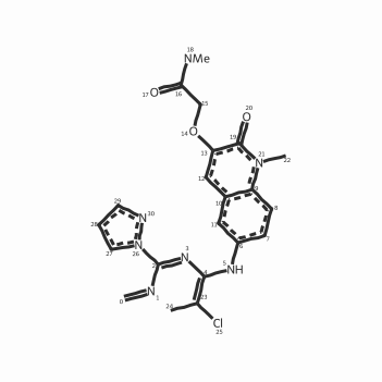 C=N/C(=N\C(Nc1ccc2c(c1)cc(OCC(=O)NC)c(=O)n2C)=C(/C)Cl)n1cccn1